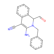 N#CC1=C(N)N(Cc2ccccc2)C(C=O)c2ccccc21